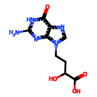 Nc1nc2c(ncn2CCC(O)C(=O)O)c(=O)[nH]1